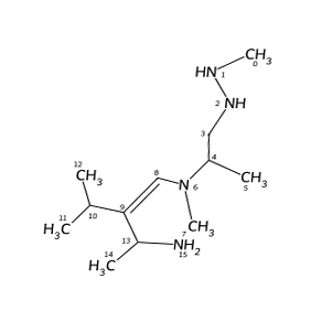 CNNCC(C)N(C)/C=C(/C(C)C)C(C)N